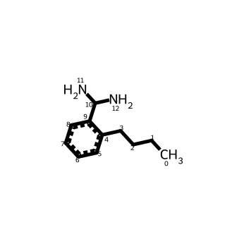 CCCCc1ccccc1C(N)N